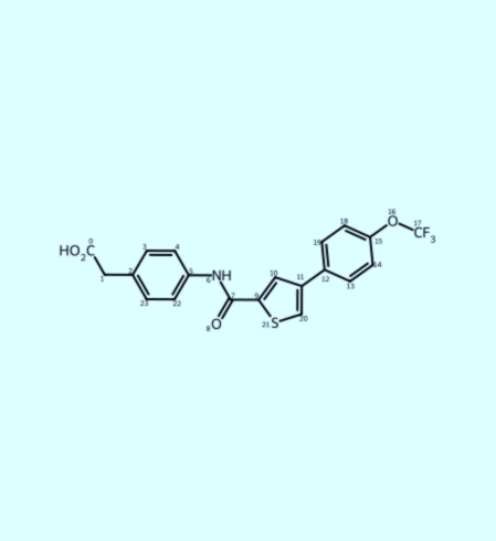 O=C(O)Cc1ccc(NC(=O)c2cc(-c3ccc(OC(F)(F)F)cc3)cs2)cc1